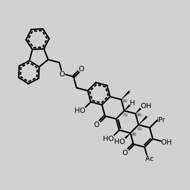 CC(=O)C1=C(O)C(C(C)C)[C@@]2(C)[C@H](O)[C@@H]3C(=C(O)[C@@]2(O)C1=O)C(=O)c1c(ccc(CC(=O)OCC2c4ccccc4-c4ccccc42)c1O)[C@H]3C